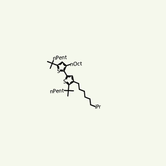 CCCCCCCCc1cc(C(C)(C)CCCCC)sc1-c1cc(CCCCCCC(C)C)c(C(C)(C)CCCCC)s1